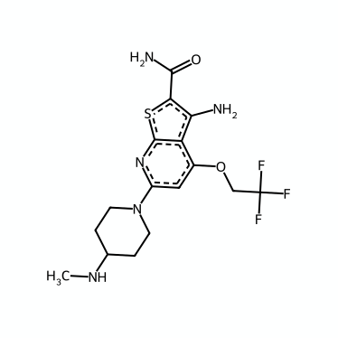 CNC1CCN(c2cc(OCC(F)(F)F)c3c(N)c(C(N)=O)sc3n2)CC1